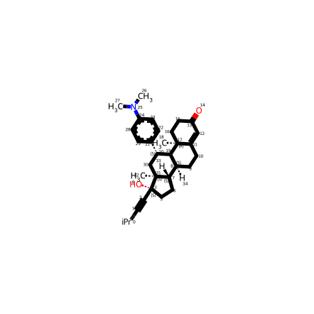 CC(C)C#C[C@]1(O)CC[C@H]2[C@@H]3CCC4=CC(=O)CC[C@]4(C)C3[C@@H](c3ccc(N(C)C)cc3)C[C@@]21C